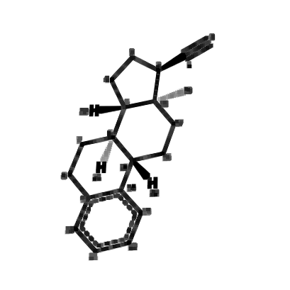 C#C[C@@H]1CC[C@H]2[C@@H]3CCc4ccccc4[C@H]3CC[C@]12C